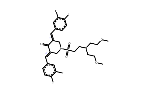 COCCN(CCOC)CCS(=O)(=O)N1C/C(=C\c2ccc(F)c(F)c2)C(=O)/C(=C/c2ccc(F)c(F)c2)C1